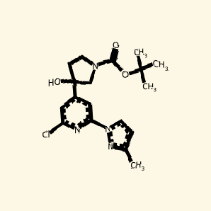 Cc1ccn(-c2cc(C3(O)CCN(C(=O)OC(C)(C)C)C3)cc(Cl)n2)n1